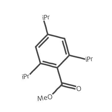 COC(=O)c1c(C(C)C)cc(C(C)C)cc1C(C)C